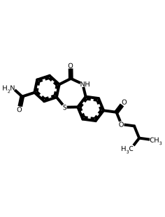 CC(C)COC(=O)c1ccc2c(c1)NC(=O)c1ccc(C(N)=O)cc1S2